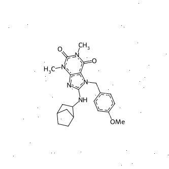 COc1ccc(Cn2c(NC3CC4CCC3C4)nc3c2c(=O)n(C)c(=O)n3C)cc1